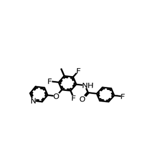 Cc1c(F)c(NC(=O)c2ccc(F)cc2)c(F)c(Oc2cccnc2)c1F